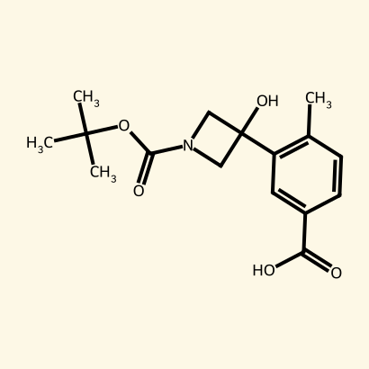 Cc1ccc(C(=O)O)cc1C1(O)CN(C(=O)OC(C)(C)C)C1